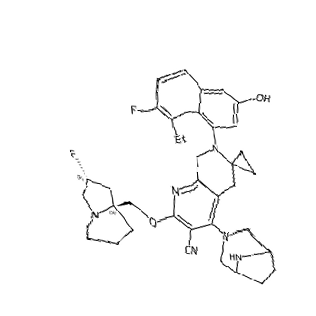 CCc1c(F)ccc2cc(O)cc(N3Cc4nc(OC[C@@]56CCCN5C[C@H](F)C6)c(C#N)c(N5CC6CCC(C5)N6)c4CC34CC4)c12